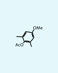 COc1cc(C)c(OC(C)=O)c(C)c1